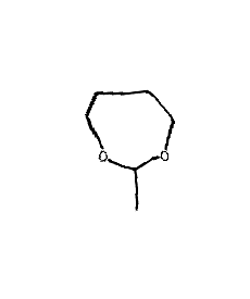 CC1OCCCCO1